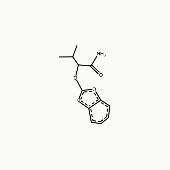 CC(C)C(Oc1nc2ccccc2o1)C(N)=O